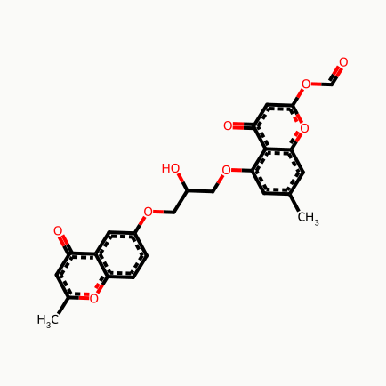 Cc1cc(OCC(O)COc2ccc3oc(C)cc(=O)c3c2)c2c(=O)cc(OC=O)oc2c1